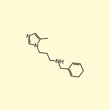 Cc1cncn1CCCNCC1=CCCC=C1